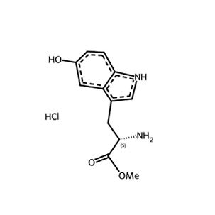 COC(=O)[C@@H](N)Cc1c[nH]c2ccc(O)cc12.Cl